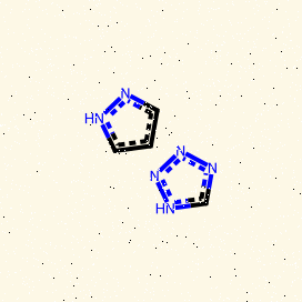 c1cn[nH]c1.c1nnn[nH]1